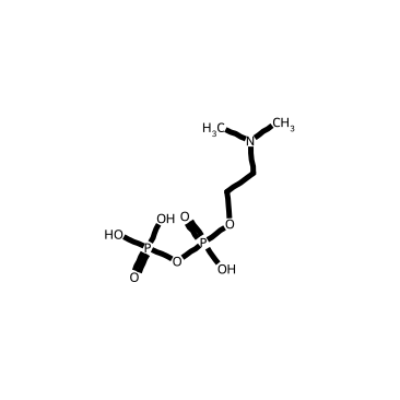 CN(C)CCOP(=O)(O)OP(=O)(O)O